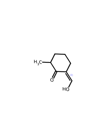 CC1CCC/C(=C/O)C1=O